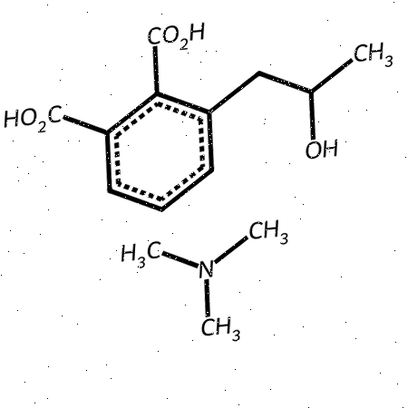 CC(O)Cc1cccc(C(=O)O)c1C(=O)O.CN(C)C